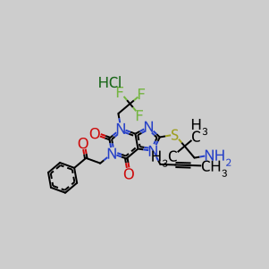 CC#CCn1c(SC(C)(C)CN)nc2c1c(=O)n(CC(=O)c1ccccc1)c(=O)n2CC(F)(F)F.Cl